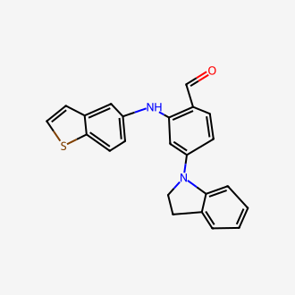 O=Cc1ccc(N2CCc3ccccc32)cc1Nc1ccc2sccc2c1